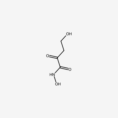 O=C(CCO)C(=O)NO